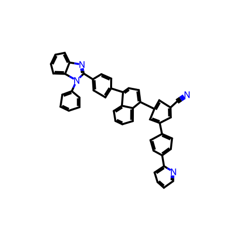 N#Cc1cc(-c2ccc(-c3ccccn3)cc2)cc(-c2ccc(-c3ccc(-c4nc5ccccc5n4-c4ccccc4)cc3)c3ccccc23)c1